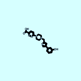 O=C(O)c1ccc(N2CCN(Cc3cc(-c4cccc(O)c4)cs3)CC2)nn1